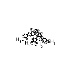 Cc1ccc(Cc2cc(-c3cc(C)c(C)cc3-c3cc(C)ccc3Oc3ccc(C)cc3)cc(C)c2C)cc1